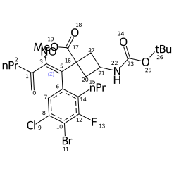 C=C(CCC)/C(N=O)=C(\c1cc(Cl)c(Br)c(F)c1CCC)C1(C(=O)OC)CC(NC(=O)OC(C)(C)C)C1